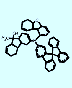 CC1(C)C2C=CCCC2C2CC(N(C3=CC=CC4OC5CCC=CC5C34)c3ccc4c(c3)C3(C5=CCCC=C5c5ccccc53)C3=C4CCC=C3)=CCC21